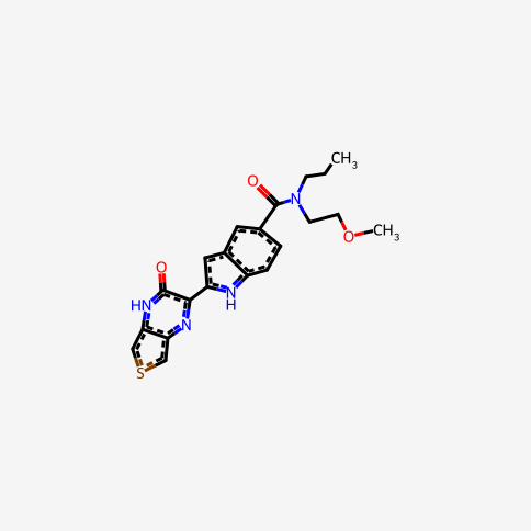 CCCN(CCOC)C(=O)c1ccc2[nH]c(-c3nc4cscc4[nH]c3=O)cc2c1